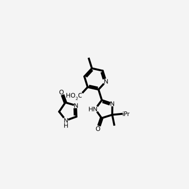 Cc1cnc(C2=NC(C)(C(C)C)C(=O)N2)c(C(=O)O)c1.O=C1CNC=N1